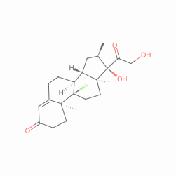 C[C@@H]1C[C@H]2[C@@H]3CCC4=CC(=O)CC[C@]4(C)[C@@]3(F)CC[C@]2(C)[C@@]1(O)C(=O)CO